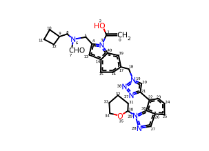 C=C(O)n1c(CN(C=O)CC2CCC2)cc2ccc(Cn3cc(-c4cccc5cnn(C6CCCCO6)c45)nn3)cc21